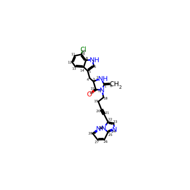 C=C1NC(Cc2c[nH]c3c(Cl)cccc23)C(=O)N1CCC#Cc1cnc2cccnn12